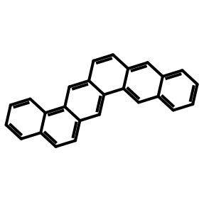 c1ccc2cc3c(ccc4cc5c(ccc6ccccc65)cc43)cc2c1